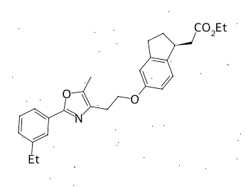 CCOC(=O)C[C@@H]1CCc2cc(OCCc3nc(-c4cccc(CC)c4)oc3C)ccc21